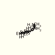 CCNC(=S)N/N=C(CC)/C(CC)=N/NC(=S)NCc1ccc(/C(N)=N/N=C(/C)N)cc1